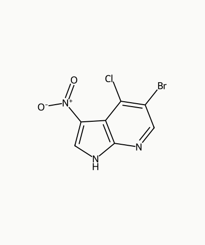 O=[N+]([O-])c1c[nH]c2ncc(Br)c(Cl)c12